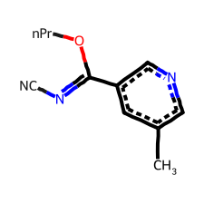 CCCO/C(=N\C#N)c1cncc(C)c1